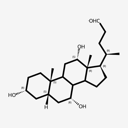 C[C@H](CC[C]=O)[C@H]1CCC2C3C(C[C@H](O)[C@@]21C)[C@@]1(C)CC[C@@H](O)C[C@H]1C[C@H]3O